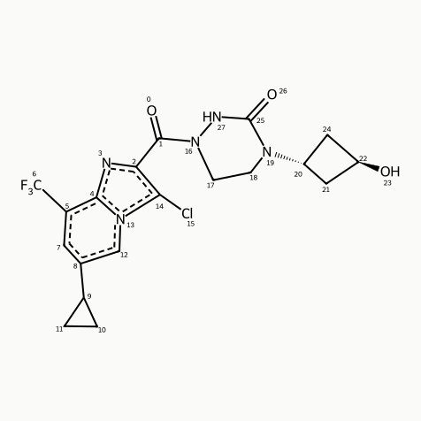 O=C(c1nc2c(C(F)(F)F)cc(C3CC3)cn2c1Cl)N1CCN([C@H]2C[C@H](O)C2)C(=O)N1